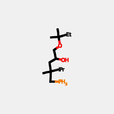 CCC(C)(C)OCC(O)CC(C)(CP)C(C)C